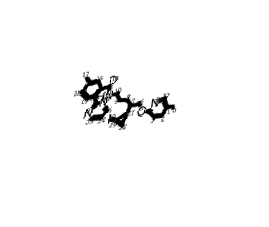 Cc1ccc(OCC(CCCNC(=O)c2cc(C)ccc2-c2ncccn2)C2CC2I)nc1